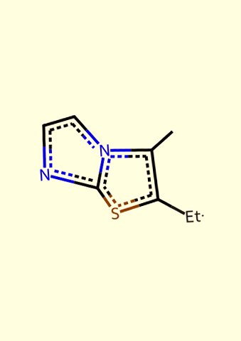 C[CH]c1sc2nccn2c1C